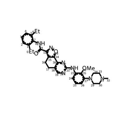 CCc1cccc(CC)c1NC(=O)c1noc2c1CCc1cnc(Nc3cccc(N4CCN(C)CC4)c3OC)nc1-2